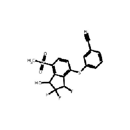 CS(=O)(=O)c1ccc(Sc2cccc(C#N)c2)c2c1C(O)C(F)(F)C2F